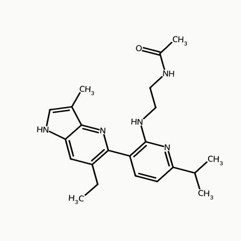 CCc1cc2[nH]cc(C)c2nc1-c1ccc(C(C)C)nc1NCCNC(C)=O